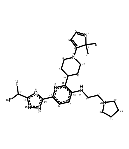 CC1(C)N=CC=C1N1CCC(c2nc(-c3nnc(C(F)F)o3)ccc2NCCN2CCCC2)CC1